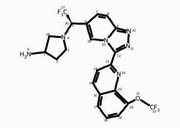 NC1CCN([C@H](c2ccc3nnc(-c4ccc5cccc(OC(F)(F)F)c5n4)n3c2)C(F)(F)F)C1